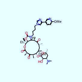 C=C[C@]12OC(=O)N(CCCCn3cnc(-c4ccc(OC)nc4)c3)[C@@H]1[C@@H](C)C(=O)[C@H](C)C[C@](C)(OC)[C@H](OC1O[C@H](C)C[C@H](N(C)C)[C@H]1O)[C@@H](C)C(=O)[C@@H](C)C(=O)O[C@@H]2CC